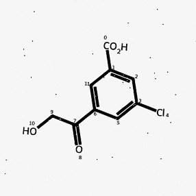 O=C(O)c1cc(Cl)cc(C(=O)CO)c1